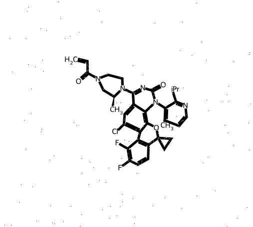 C=CC(=O)N1CCN(c2nc(=O)n(-c3c(C)ccnc3C(C)C)c3c4c(c(Cl)cc23)-c2c(ccc(F)c2F)C2(CC2)O4)[C@@H](C)C1